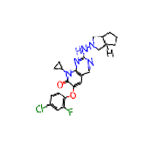 O=c1c(Oc2ccc(Cl)cc2F)cc2cnc(NN3CC4CCC[C@@H]4C3)nc2n1C1CC1